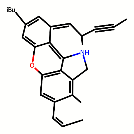 CC#CC(C)/C=c1/cc(C(C)CC)cc2c1=C1NCc3c(C)c(/C=C\C)cc(c31)O2